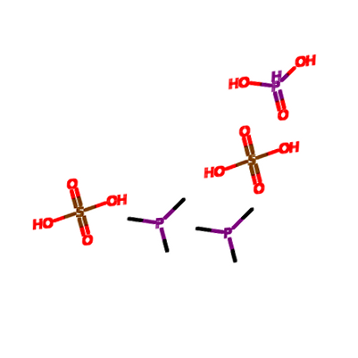 CP(C)C.CP(C)C.O=S(=O)(O)O.O=S(=O)(O)O.O=[PH](O)O